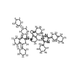 c1ccc(-c2ccc3c(c2)c2c4ccccc4c(-c4ccccc4)cc2n3-c2cccc3c2oc2cccc(-c4nc(-c5ccccc5)nc(-c5ccc6ccccc6c5)n4)c23)cc1